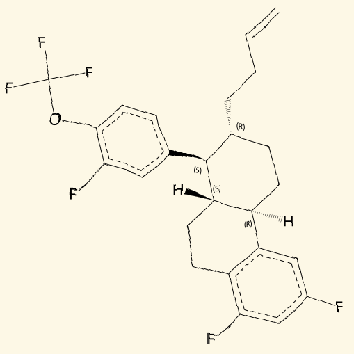 C=CCC[C@@H]1CC[C@H]2c3cc(F)cc(F)c3CC[C@@H]2[C@H]1c1ccc(OC(F)(F)F)c(F)c1